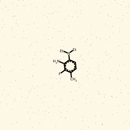 CCN(CC)c1ccc(C)c(F)c1N